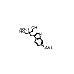 CCCCCCCCc1ccc2c(CC(CO)(CO)NC(C)=O)c[nH]c2c1